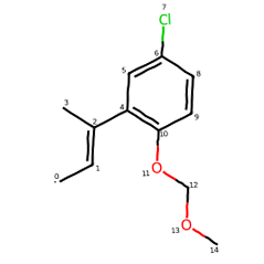 [CH2]C=C(C)c1cc(Cl)ccc1OCOC